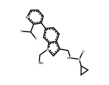 CC(C)(C)Cn1cc(CN[S+]([O-])C2CC2)c2ccc(-c3cccnc3C(F)F)cc21